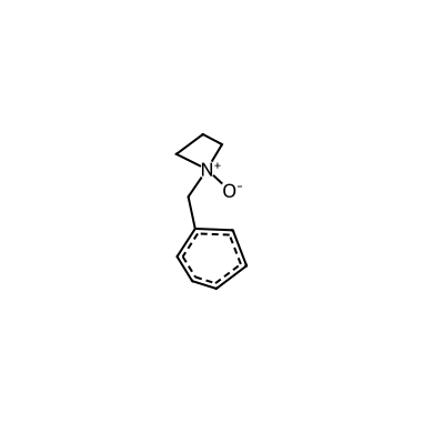 [O-][N+]1(Cc2ccccc2)CCC1